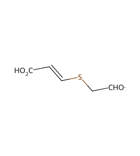 O=[C]CS/C=C/C(=O)O